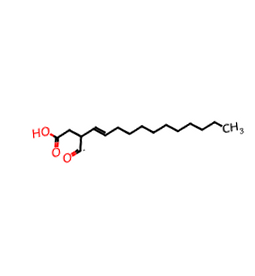 CCCCCCCCCC/C=C/C([C]=O)CC(=O)O